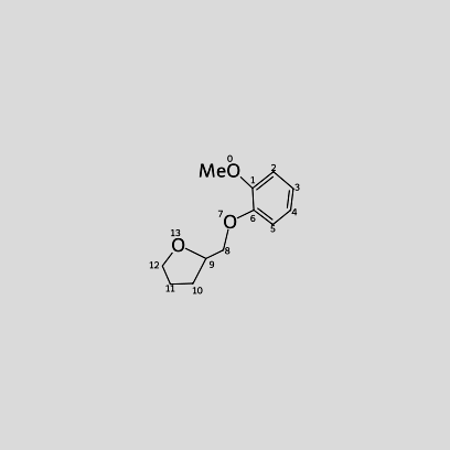 COc1ccccc1OCC1CCCO1